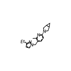 CCc1ccn(Cc2ccc(N3CC4CC4C3)nc2C)n1